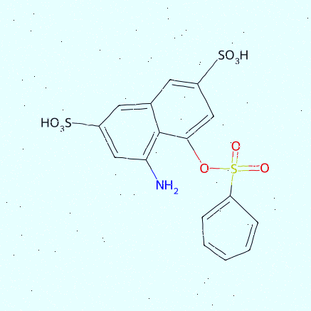 Nc1cc(S(=O)(=O)O)cc2cc(S(=O)(=O)O)cc(OS(=O)(=O)c3ccccc3)c12